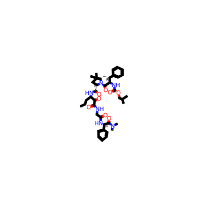 CCCC(NC(=O)[C@@H]1CC(C)(C)CN1C(=O)C(NC(=O)OCC(C)C)[C@H](C)c1ccccc1)C(=O)C(=O)NCC(=O)N[C@H](C(=O)N(C)C)c1ccccc1